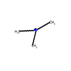 CCCCCCCCCCCCCCCCCn1cc[n+](CCCCCCCCCCCCCCCCC)c1CCCCCCCCCCCCCCC